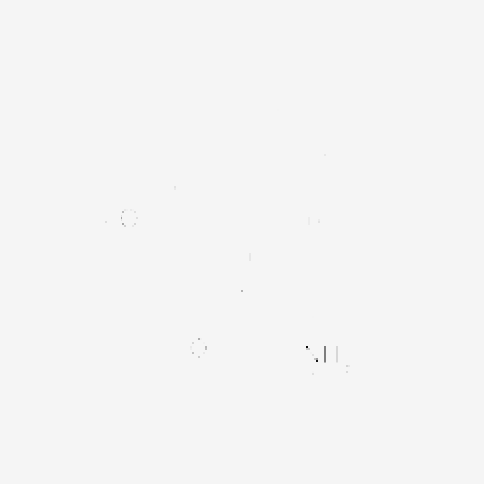 CCC=O.N.O=C1CCCCC1